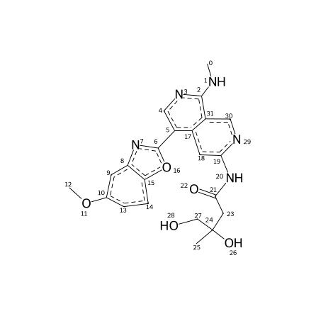 CNc1ncc(-c2nc3cc(OC)ccc3o2)c2cc(NC(=O)CC(C)(O)CO)ncc12